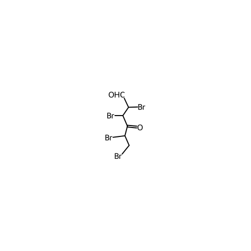 O=CC(Br)C(Br)C(=O)C(Br)CBr